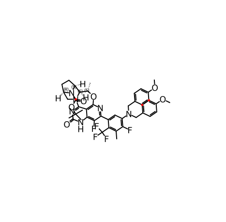 COc1ccc(CN(Cc2ccc(OC)cc2)c2cc(-c3nc4c5c(nc(=O)[nH]c5c3F)N3C[C@H]5CC[C@@H]([C@H]3[C@H](C)O4)N5C(=O)OC(C)(C)C)c(C(F)(F)F)c(C)c2F)cc1